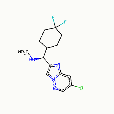 O=C(O)N[C@H](c1cn2ncc(Cl)cc2n1)C1CCC(F)(F)CC1